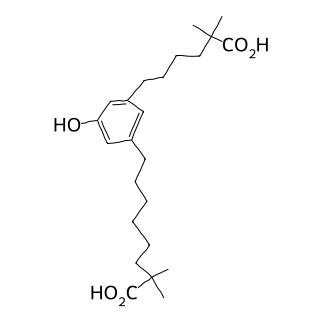 CC(C)(CCCCCCc1cc(O)cc(CCCCC(C)(C)C(=O)O)c1)C(=O)O